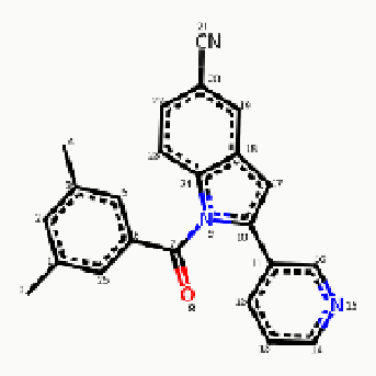 Cc1cc(C)cc(C(=O)n2c(-c3cccnc3)cc3cc(C#N)ccc32)c1